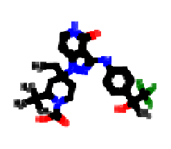 CCC1(n2nc(Nc3ccc(C(C)(O)C(F)(F)F)cc3)c3c(=O)[nH]ccc32)CCN(C(=O)O)C(C(C)(C)C)C1